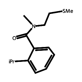 CSCCN(C)C(=O)c1ccccc1C(C)C